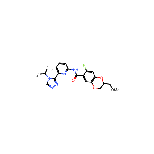 COCC1COc2cc(C(=O)Nc3cccc(-c4nncn4C(C)C(F)(F)F)n3)c(F)cc2O1